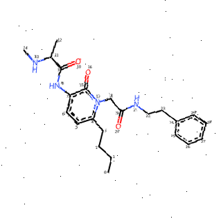 CCCCc1ccc(NC(=O)C(C)NC)c(=O)n1CC(=O)NCCc1ccccc1